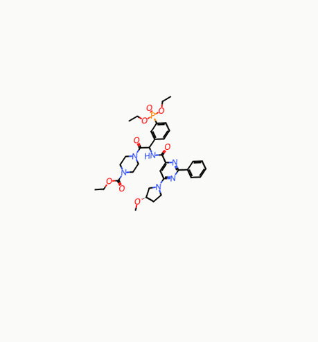 CCOC(=O)N1CCN(C(=O)C(NC(=O)c2cc(N3CC[C@H](OC)C3)nc(-c3ccccc3)n2)c2cccc(P(=O)(OCC)OCC)c2)CC1